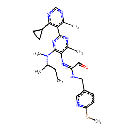 CCC(C)N(C)c1nc(-c2c(C)ncnc2C2CC2)nc(C)c1/N=C(\C=O)NCc1ccc(SC)nc1